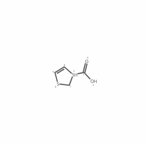 O=C(O)[SH]1C=CSC1